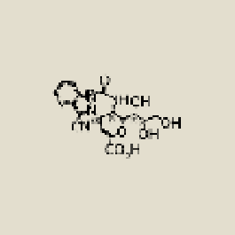 CC(C)C(=O)N[C@H]1[C@H]([C@H](O)[C@H](O)CO)OC(C(=O)O)=C[C@@H]1n1nc2cccnc2c1C#N